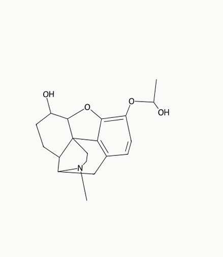 CC(O)Oc1ccc2c3c1OC1C(O)CCC4C(C2)N(C)CCC341